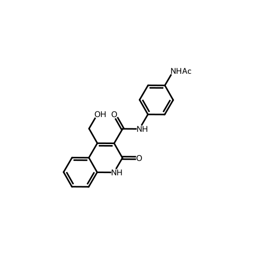 CC(=O)Nc1ccc(NC(=O)c2c(CO)c3ccccc3[nH]c2=O)cc1